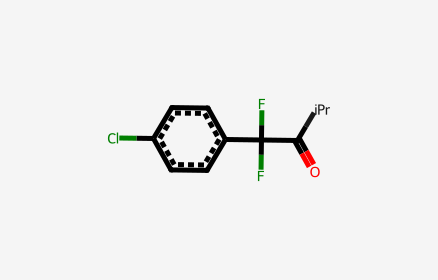 CC(C)C(=O)C(F)(F)c1ccc(Cl)cc1